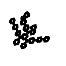 c1ccc(-c2ccc(-c3ccc(N(c4ccccc4)c4cc(N(c5ccccc5)c5ccc(-c6ccc(-c7ccccc7)cc6)cc5)cc(N(c5ccc(-c6ccc7oc8ccccc8c7c6)cc5)c5cccc6ccccc56)c4)cc3)cc2)cc1